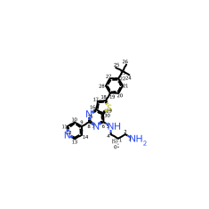 C[C@@H](CN)CNc1nc(-c2ccncc2)nc2cc(-c3ccc(C(C)(C)C)cc3)sc12